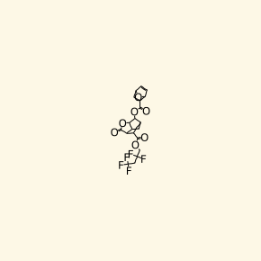 O=C(OC1C2CC3C1OC(=O)C3C2C(=O)OCC(F)(F)CC(F)(F)F)C1CC2C=CC1O2